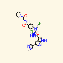 Cn1cc(-c2cnc3[nH]cc(C4NN=C(N(CCF)c5ccc(C(=O)NCC(=O)N6CCCCC6)cc5Cl)O4)c3c2)cn1